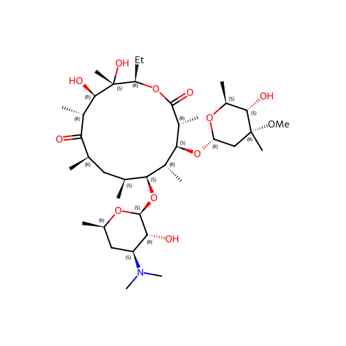 CC[C@H]1OC(=O)[C@H](C)[C@@H](O[C@H]2C[C@@](C)(OC)[C@@H](O)[C@H](C)O2)[C@H](C)[C@@H](O[C@@H]2O[C@H](C)C[C@H](N(C)C)[C@H]2O)[C@@H](C)C[C@@H](C)C(=O)[C@H](C)[C@@H](O)[C@]1(C)O